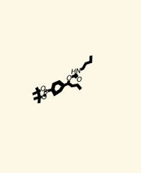 CCCCNC(=O)OC(CCC)c1ccc(B2OC(C)(C)C(C)(C)O2)cc1